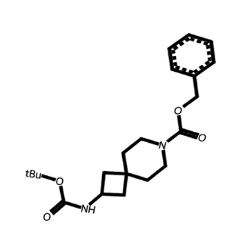 CC(C)(C)OC(=O)NC1CC2(CCN(C(=O)OCc3ccccc3)CC2)C1